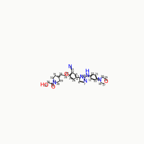 N#Cc1cc(-c2ccnc(Nc3ccc(N4CCOCC4)cc3)n2)ccc1OCCC1CCN(C(=O)CO)CC1